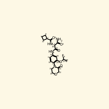 NC(=O)[C@@H](NC(=O)C1CCC1)C(=O)Nc1ccc(N2CCOCC2=O)c(OC(F)F)c1